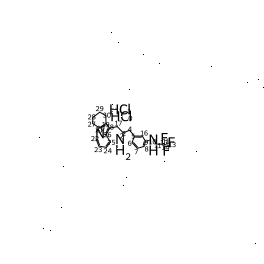 Cl.Cl.NC(Cc1cccc(NCC(F)(F)F)c1)Cc1c2c(n3ccccc13)CCCC2